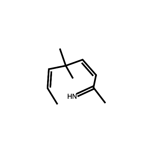 C/C=C\C(C)(C)/C=C\C(C)=N